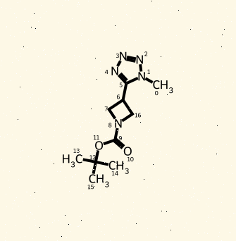 Cn1nnnc1C1CN(C(=O)OC(C)(C)C)C1